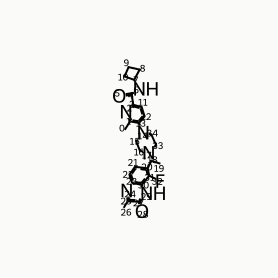 Cc1nc(C(=O)NC2CCC2)ccc1N1CCN(C(C)c2ccc3nc(C)c(=O)[nH]c3c2F)CC1